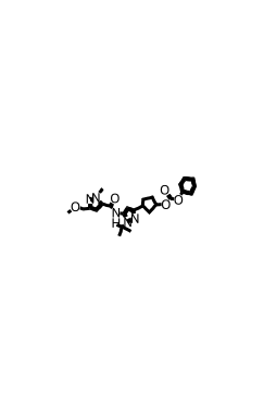 COCc1cc(C(=O)Nc2cc(C3CCC(OC(=O)Oc4ccccc4)C3)nn2C(C)(C)C)n(C)n1